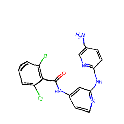 Nc1ccc(Nc2cc(NC(=O)c3c(Cl)cccc3Cl)ccn2)nc1